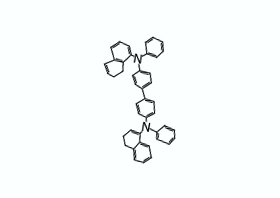 C1=Cc2cccc(N(c3ccccc3)c3ccc(-c4ccc(N(C5=CCCc6ccccc65)c5ccccc5)cc4)cc3)c2CC1